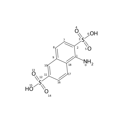 Nc1c(S(=O)(=O)O)ccc2cc(S(=O)(=O)O)ccc12